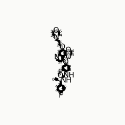 C#C[C@@H](NC(=O)Nc1ccc(Oc2ccnc3cc(OCCCN4CCOCC4)c4c(c23)OCCO4)cc1F)C1=CCC(F)C=C1